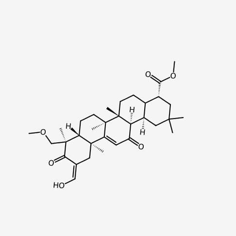 COC[C@]1(C)C(=O)/C(=C\O)C[C@]2(C)C3=CC(=O)[C@@H]4[C@@H]5CC(C)(C)C[C@@H](C(=O)OC)C5CC[C@@]4(C)[C@]3(C)CC[C@@H]12